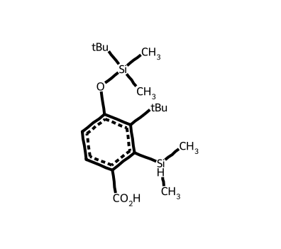 C[SiH](C)c1c(C(=O)O)ccc(O[Si](C)(C)C(C)(C)C)c1C(C)(C)C